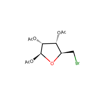 CC(=O)O[C@@H]1O[C@H](CBr)[C@@H](OC(C)=O)[C@H]1OC(C)=O